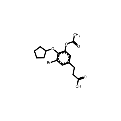 CC(=O)Oc1cc(CCC(=O)O)cc(Br)c1OC1CCCC1